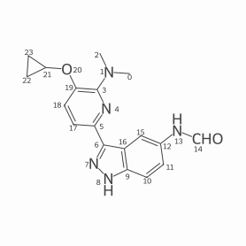 CN(C)c1nc(-c2n[nH]c3ccc(NC=O)cc23)ccc1OC1CC1